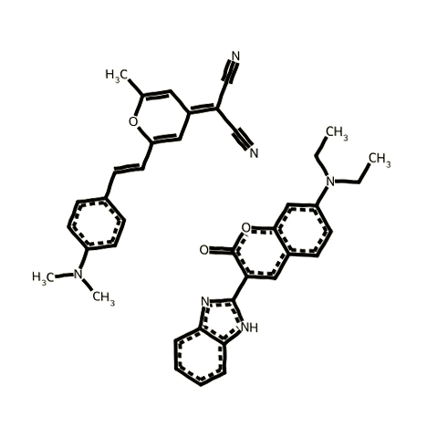 CC1=CC(=C(C#N)C#N)C=C(C=Cc2ccc(N(C)C)cc2)O1.CCN(CC)c1ccc2cc(-c3nc4ccccc4[nH]3)c(=O)oc2c1